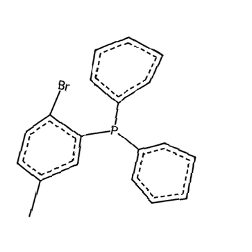 Cc1ccc(Br)c(P(c2ccccc2)c2ccccc2)c1